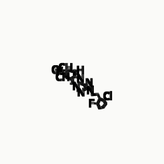 CP(C)(=O)c1ccc(Nc2ncnc3c2ncn3C=Cc2c(F)cccc2Cl)cc1